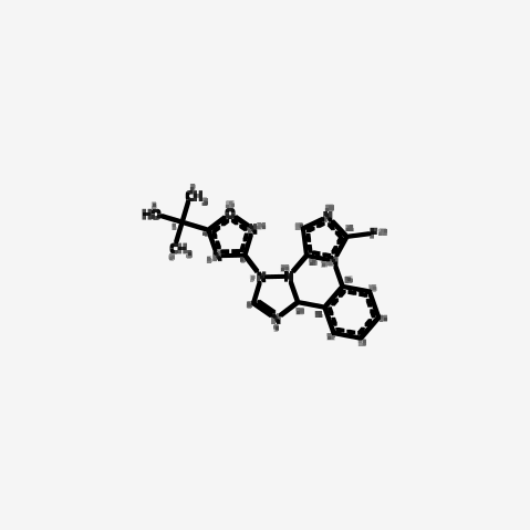 CC(C)(O)c1nc(N2C=NC3c4ccccc4-n4c(cnc4F)N32)no1